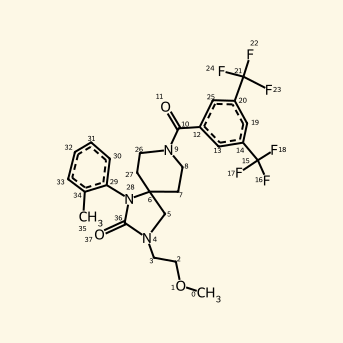 COCCN1CC2(CCN(C(=O)c3cc(C(F)(F)F)cc(C(F)(F)F)c3)CC2)N(c2ccccc2C)C1=O